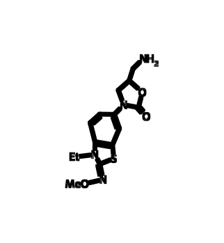 CCn1c(=NOC)sc2cc(N3CC(CN)OC3=O)ccc21